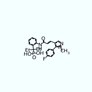 CCC(CC)(c1ccccc1NC(=O)C=Cc1cnn(C)c1-c1ccc(F)cc1)P(=O)(O)O